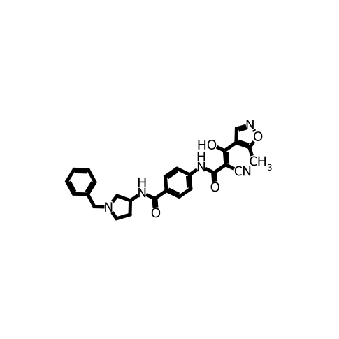 Cc1oncc1C(O)=C(C#N)C(=O)Nc1ccc(C(=O)NC2CCN(Cc3ccccc3)C2)cc1